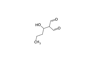 CCCC(O)C(C=O)C=O